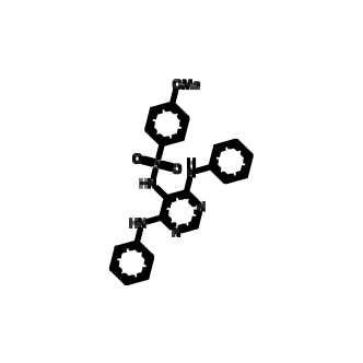 COc1ccc(S(=O)(=O)Nc2c(Nc3ccccc3)ncnc2Nc2ccccc2)cc1